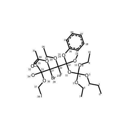 CCCOC(OCC)(OCC)OC(OC)(Oc1ccccc1)C(F)(OCC)C(Br)(OC(C)=O)C([O])(Cl)OCI